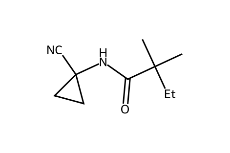 CCC(C)(C)C(=O)NC1(C#N)CC1